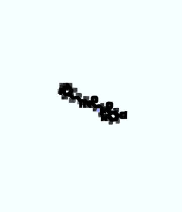 O=C(/C=C/n1cnc2ccc(Cl)cc2c1=O)NCCCCc1cncnc1